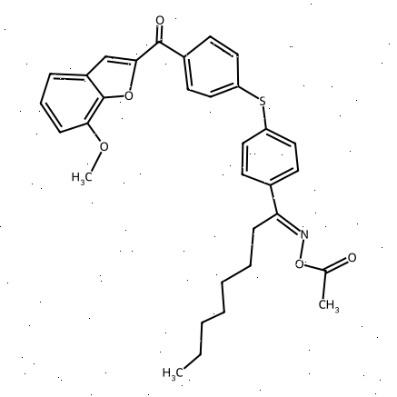 CCCCCCC/C(=N\OC(C)=O)c1ccc(Sc2ccc(C(=O)c3cc4cccc(OC)c4o3)cc2)cc1